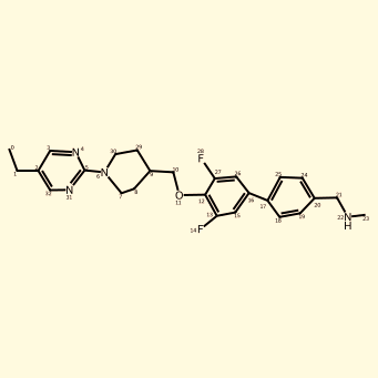 CCc1cnc(N2CCC(COc3c(F)cc(-c4ccc(CNC)cc4)cc3F)CC2)nc1